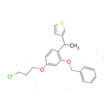 CC(c1ccsc1)c1ccc(OCCCCl)cc1OCc1ccccc1